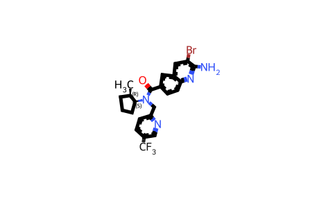 C[C@@H]1CCC[C@@H]1N(Cc1ccc(C(F)(F)F)cn1)C(=O)c1ccc2nc(N)c(Br)cc2c1